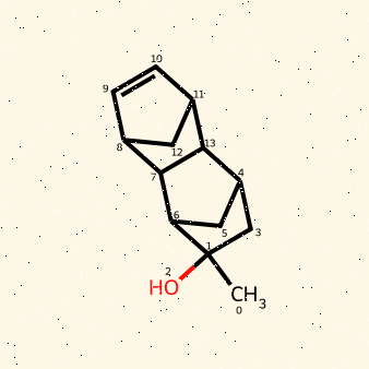 CC1(O)CC2CC1C1C3C=CC(C3)C21